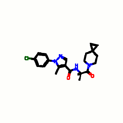 Cc1c(C(=O)N[C@H](C)C(=O)N2CCC3(CC2)CC3)cnn1-c1ccc(Cl)cc1